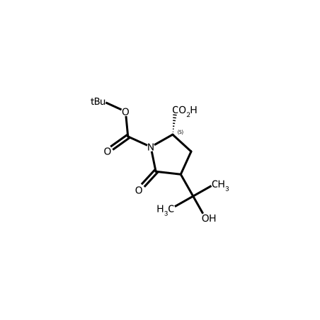 CC(C)(C)OC(=O)N1C(=O)C(C(C)(C)O)C[C@H]1C(=O)O